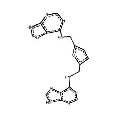 c1nc(NCc2ccc(CNc3ncnc4[nH]cnc34)o2)c2nc[nH]c2n1